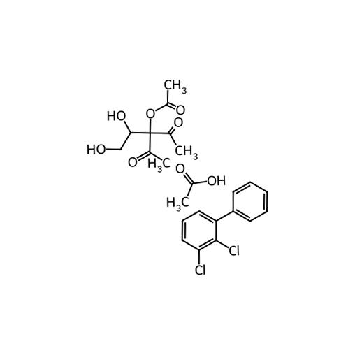 CC(=O)O.CC(=O)OC(C(C)=O)(C(C)=O)C(O)CO.Clc1cccc(-c2ccccc2)c1Cl